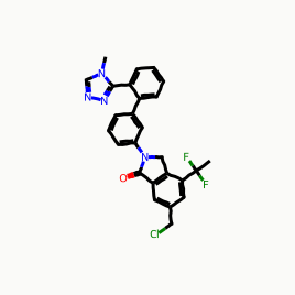 Cn1cnnc1-c1ccccc1-c1cccc(N2Cc3c(cc(CCl)cc3C(C)(F)F)C2=O)c1